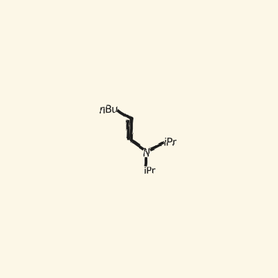 CCCCC=CN(C(C)C)C(C)C